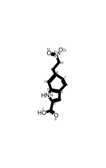 O=C(O)c1cc2ccc(CC[N+](=O)[O-])cc2[nH]1